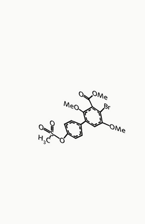 COC(=O)c1c(Br)c(OC)cc(-c2ccc(OS(C)(=O)=O)cc2)c1OC